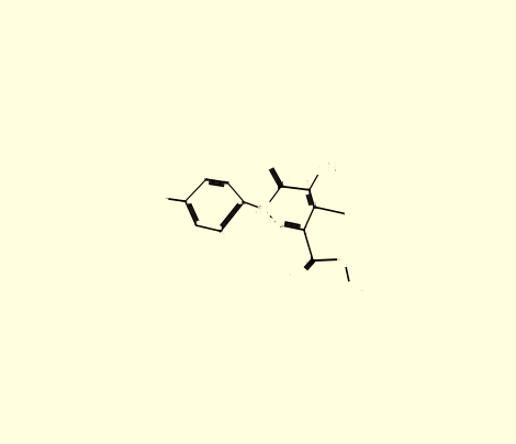 Cc1c(C(=O)OC(C)(C)C)nn(-c2ccc(O)cc2)c(=O)c1C#N